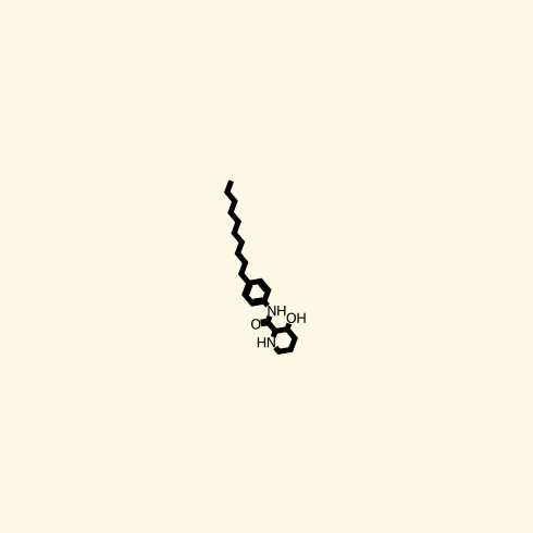 CCCCCCCCCCc1ccc(NC(=O)C2NCCCC2O)cc1